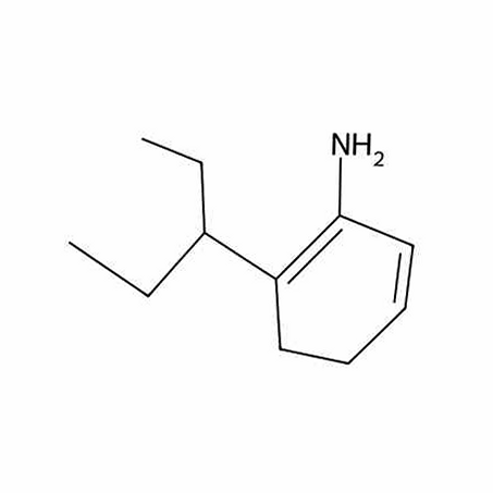 CCC(CC)C1=C(N)C=CCC1